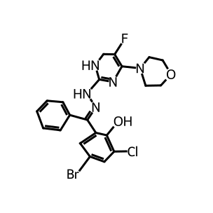 Oc1c(Cl)cc(Br)cc1/C(=N/NC1=NC(N2CCOCC2)=C(F)CN1)c1ccccc1